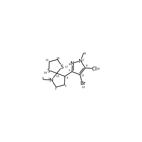 CN1CCC(c2nn(C)c(Cl)c2Br)C12SCCS2